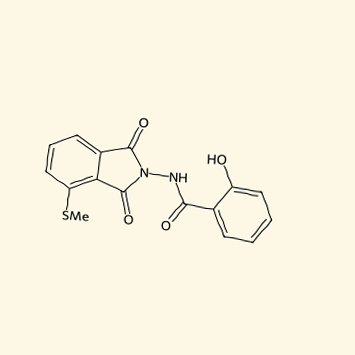 CSc1cccc2c1C(=O)N(NC(=O)c1ccccc1O)C2=O